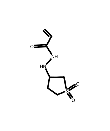 C=CC(=O)NNC1CCS(=O)(=O)C1